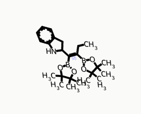 CC/C(B1OC(C)(C)C(C)(C)O1)=C(/B1OC(C)(C)C(C)(C)O1)C1Cc2ccccc2N1